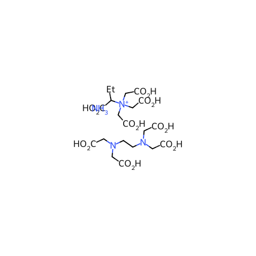 CCC(C(=O)O)[N+](CC(=O)O)(CC(=O)O)CC(=O)O.N.O=C(O)CN(CCN(CC(=O)O)CC(=O)O)CC(=O)O